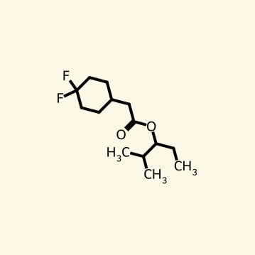 CCC(OC(=O)CC1CCC(F)(F)CC1)C(C)C